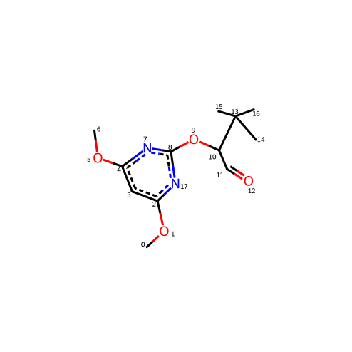 COc1cc(OC)nc(OC(C=O)C(C)(C)C)n1